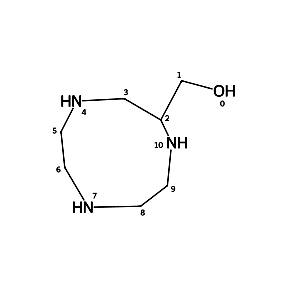 OCC1CNCCNCCN1